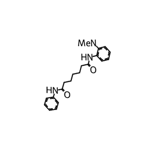 CNc1ccccc1NC(=O)CCCCCC(=O)Nc1ccccc1